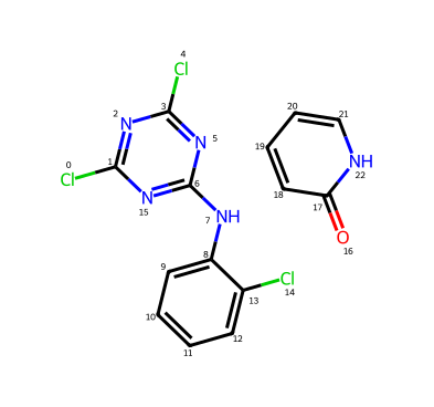 Clc1nc(Cl)nc(Nc2ccccc2Cl)n1.O=c1cccc[nH]1